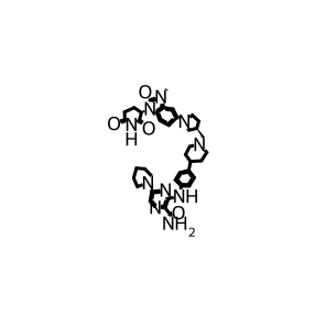 Cn1c(=O)n([C@@H]2CCC(=O)NC2=O)c2ccc(N3CC[C@@H](CN4CCC(c5ccc(Nc6nc(N7CCCCC7)cnc6C(N)=O)cc5)CC4)C3)cc21